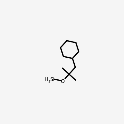 CC(C)(CC1CCCCC1)O[SiH3]